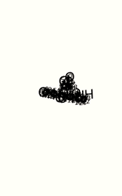 O=COc1c(Cl)cc(C[C@@H](OC(=O)N2CCC(N3CCc4ccccc4NC3=O)CC2)C(=O)N2CCN(C3CCOCC3)CC2)cc1C(F)(F)F